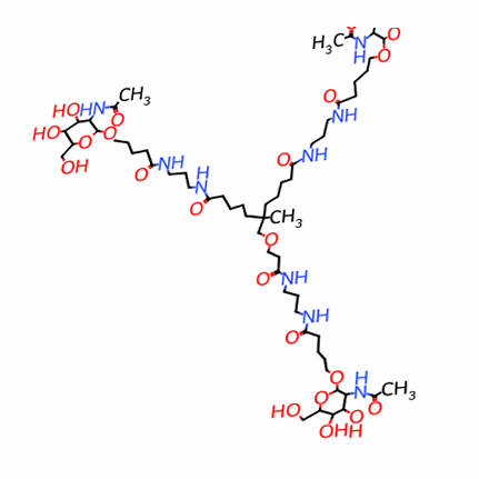 CC(=O)NC1C(OCCCCC(=O)NCCCNC(=O)CCCCC(C)(CCCCC(=O)NCCCNC(=O)CCCCOC2OC(CO)C(O)C(O)C2NC(C)=O)COCCC(=O)NCCCNC(=O)CCCCOC2OC(CO)C(O)C(O)C2NC(C)=O)OC(CO)C(O)C1O